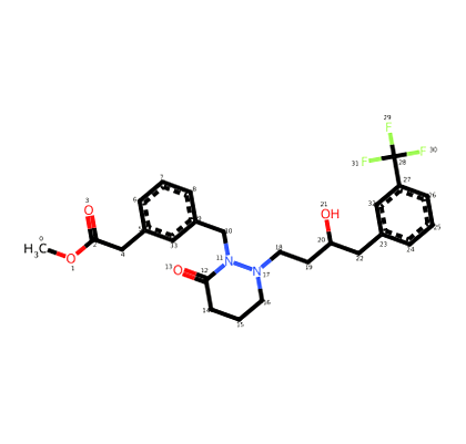 COC(=O)Cc1cccc(CN2C(=O)CCCN2CCC(O)Cc2cccc(C(F)(F)F)c2)c1